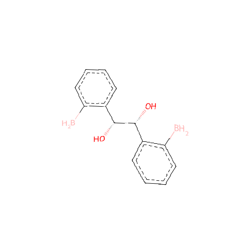 Bc1ccccc1[C@@H](O)[C@H](O)c1ccccc1B